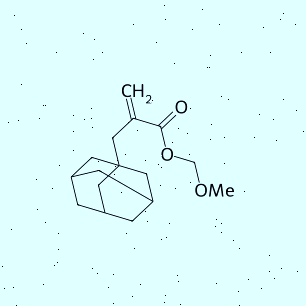 C=C(CC12CC3CC(CC(C3)C1)C2)C(=O)OCOC